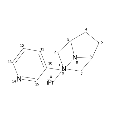 CC(C)N1CC2CCC(C1)N2Cc1cccnc1